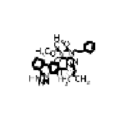 COC(C)n1c(=O)c2c(nc(CC(C)(C)C)n2Cc2ccc(-c3ccccc3-c3nnn[nH]3)cc2)n(CCc2ccccc2)c1=O